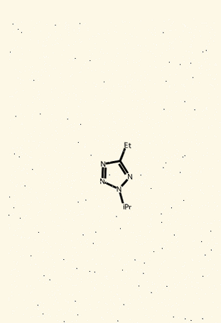 CCc1nnn(C(C)C)n1